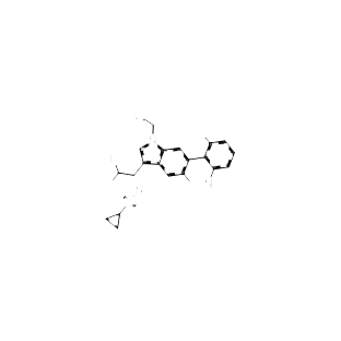 CC(C)(C)Cn1cc([C@H](NS(=O)(=O)C2CC2)C(F)F)c2cc(F)c(-c3c(C#N)cccc3C(F)(F)F)cc21